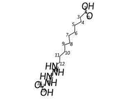 O=C(O)CCCCCCCCCCNNNNC(=O)O